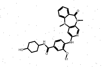 CCOc1cc(C(=O)NC2CCC(O)CC2)ccc1Nc1cc2c(cn1)N(C)C(=O)c1ccccc1N2C